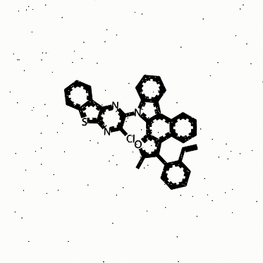 C=Cc1ccccc1-c1c(C)oc2c1c1ccccc1c1c3ccccc3n(-c3nc4c(nc3Cl)sc3ccccc34)c21